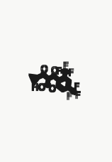 O=C(O)C(C(=O)c1ccc(C(F)(F)F)cc1C(F)(F)F)C(=O)C1CC1